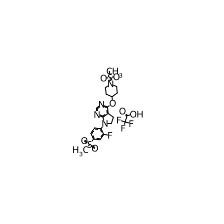 CS(=O)(=O)c1ccc(N2CCc3c(OC4CCN(S(C)(=O)=O)CC4)ncnc32)c(F)c1.O=C(O)C(F)(F)F